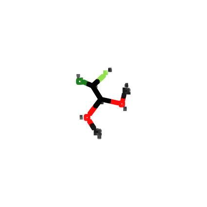 CCOC(OCC)C(F)Cl